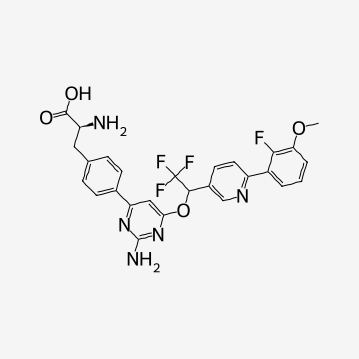 COc1cccc(-c2ccc(C(Oc3cc(-c4ccc(C[C@H](N)C(=O)O)cc4)nc(N)n3)C(F)(F)F)cn2)c1F